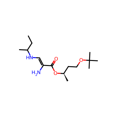 CCC(C)N/C=C(\N)C(=O)O[C@H](C)CCOC(C)(C)C